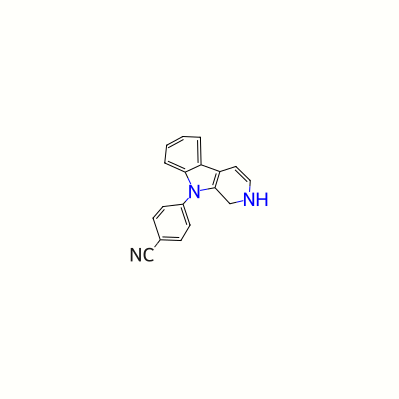 N#Cc1ccc(-n2c3c(c4ccccc42)C=CNC3)cc1